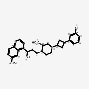 COc1ccc2nccc(C(O)CC[C@@H]3CCN(C4CC(c5cccc(Cl)c5)C4)C[C@@H]3C(=O)O)c2c1